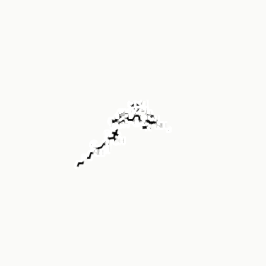 CCCSCCNC(=O)CCNC(=O)C(O)C(C)(C)COP(=O)(O)OP(=O)(O)OCC1OC(n2cnc3c(N)ncnc32)C(O)C1OP(=O)(O)O